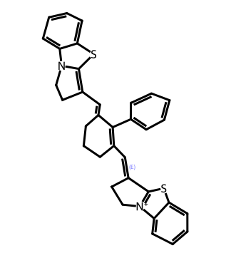 C(=C1CCCC(/C=C2\CC[n+]3c2sc2ccccc23)=C1c1ccccc1)C1=C2Sc3ccccc3N2CC1